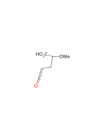 COC(CC=C=O)C(=O)O